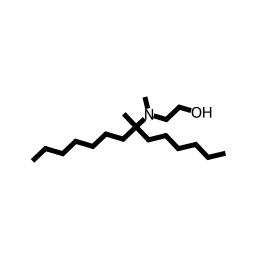 CCCCCCCC(C)(CCCCCC)N(C)CCO